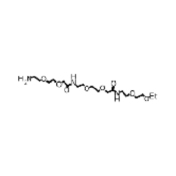 CCOCCOCCNC(=O)COCCOCCNC(=O)COCCOCCN